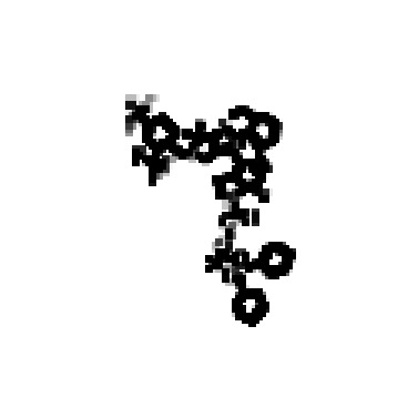 CCc1cccc(CC)c1-n1nc2c(c1-c1ccc(F)c3c1ccn3C(=O)OCOP(=O)(OCc1ccccc1)OCc1ccccc1)CN(Cc1ccc(C(F)(F)F)cc1C(F)(F)F)C2(C)C